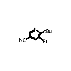 CCc1cc(C#N)cnc1C(C)(C)C